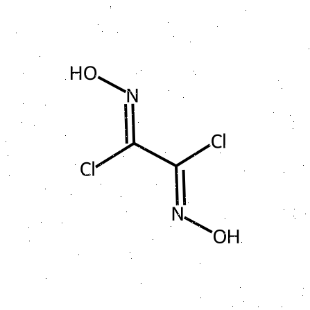 ON=C(Cl)C(Cl)=NO